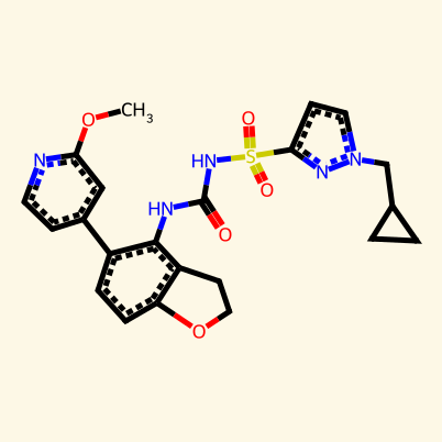 COc1cc(-c2ccc3c(c2NC(=O)NS(=O)(=O)c2ccn(CC4CC4)n2)CCO3)ccn1